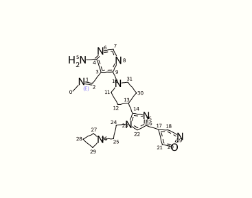 C/N=C/c1c(N)ncnc1N1CCC(c2nc(-c3cnoc3)cn2CCN2CCC2)CC1